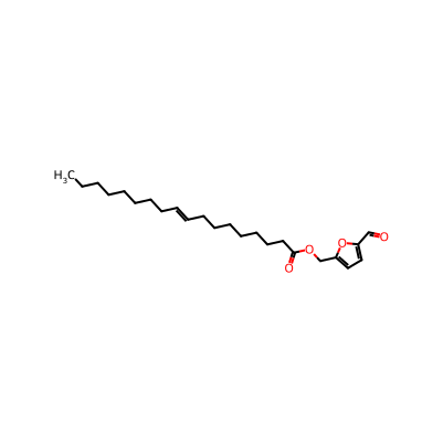 CCCCCCCCC=CCCCCCCCC(=O)OCc1ccc(C=O)o1